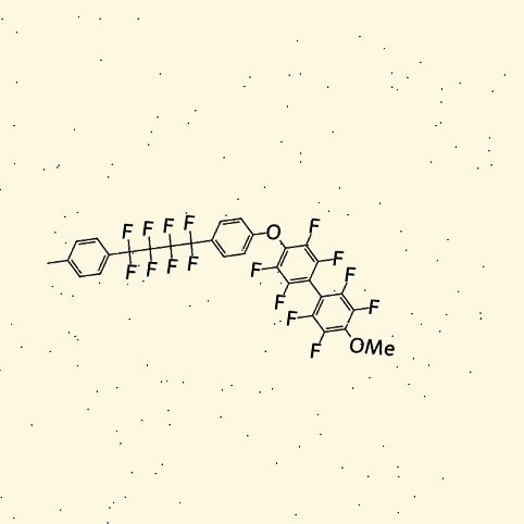 COc1c(F)c(F)c(-c2c(F)c(F)c(Oc3ccc(C(F)(F)C(F)(F)C(F)(F)C(F)(F)c4ccc(C)cc4)cc3)c(F)c2F)c(F)c1F